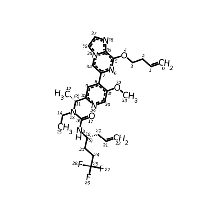 C=CCCOc1nc(-c2cc([C@@H](C)N(CC)C(=O)N[C@H](CC=C)CCC(F)(F)F)ncc2OC)cn2ccnc12